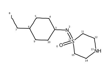 O=S1(=NC2CCC(CI)CC2)CCNCC1